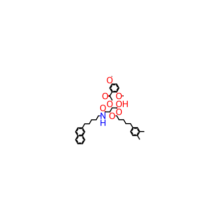 COc1ccc(OC)c(C(=O)COC(C(=O)O)C(OCCCCCc2ccc(C)c(C)c2)C(=O)NCCCCCc2ccc3ccccc3c2)c1